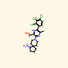 Cc1nc(N2CCC3(CCC[C@H]3N)CC2)c(CO)nc1-c1ccc(Cl)c(Cl)c1Cl